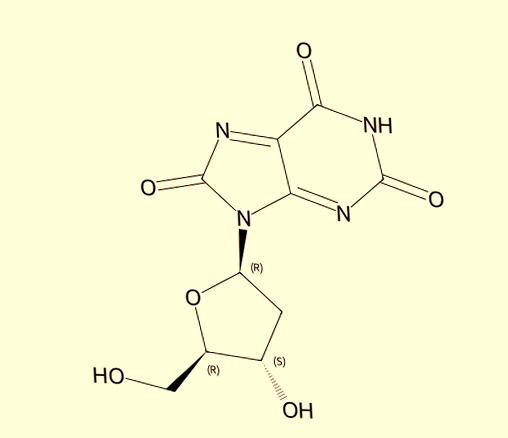 O=C1N=C2C(=NC(=O)N2[C@H]2C[C@H](O)[C@@H](CO)O2)C(=O)N1